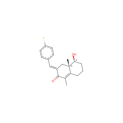 CC1=C2CCC[C@H](O)[C@@]2(C)CC(=Cc2ccc(F)cc2)C1=O